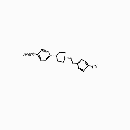 CCCCCc1ccc([C@H]2CC[C@H](CCc3ccc(C#N)cc3)CC2)cc1